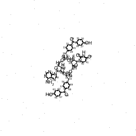 Nc1ncnc2c1ncn2[C@@H]1O[C@@H]2COP(=O)(SCc3ccc(C(=O)c4ccc(O)cc4)cc3)O[C@H]3[C@@H](F)[C@H](n4ccc(=O)[nH]c4=O)O[C@@H]3COP(=O)(SCc3ccc(C(=O)c4ccc(O)cc4)cc3)O[C@@H]1[C@@H]2F